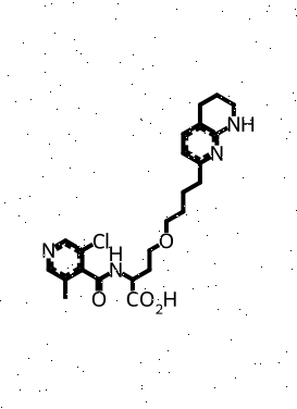 Cc1cncc(Cl)c1C(=O)NC(CCOCCCCc1ccc2c(n1)NCCC2)C(=O)O